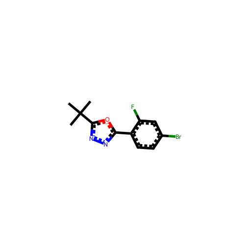 CC(C)(C)c1nnc(-c2ccc(Br)cc2F)o1